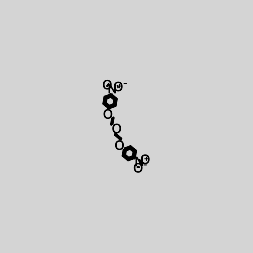 O=[N+]([O-])c1ccc(OCCOCCOc2ccc([N+](=O)[O-])cc2)cc1